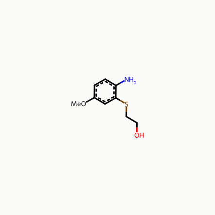 COc1ccc(N)c(SCCO)c1